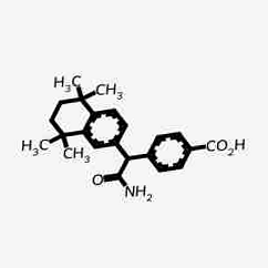 CC1(C)CCC(C)(C)c2cc(C(C(N)=O)c3ccc(C(=O)O)cc3)ccc21